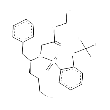 CCOC(=O)CN([C@@H](CCCN)Cc1ccccc1)S(=O)(=O)c1ccccc1OC(F)(F)F